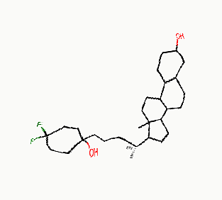 C[C@H](CCCC1(O)CCC(F)(F)CC1)C1CCC2C3CCC4CC(O)CCC4C3CCC21C